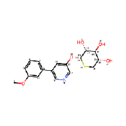 COc1cccc(-c2cncc(O[C@H]3SC[C@@H](O)[C@H](O)[C@H]3O)c2)c1